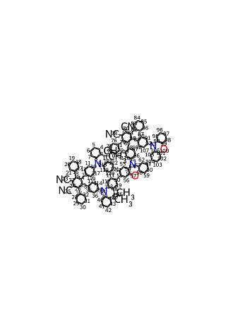 CC1(C)c2ccccc2N(c2ccc(-c3c(-c4ccccc4)c(C#N)c(C#N)c(-c4ccccc4)c3-c3ccc(N4c5ccccc5C(C)(C)c5cc(-c6ccc7c(c6)Oc6ccccc6N7c6ccc(-c7c(-c8ccccc8)c(C#N)c(C#N)c(-c8ccccc8)c7-c7ccc(N8c9ccccc9Oc9ccccc98)cc7)cc6)ccc54)cc3)cc2)c2ccccc21